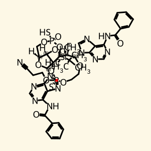 CC(C)(C)[Si](C)(C)O[C@@H]1[C@H]2COP(=O)(S)O[C@H]3[C@@H](F)[C@H](n4cnc5c(NC(=O)c6ccccc6)ncnc54)OCCOP(=S)(OCCC#N)O[C@@]13[C@H](n1cnc3c(NC(=O)c4ccccc4)ncnc31)O2